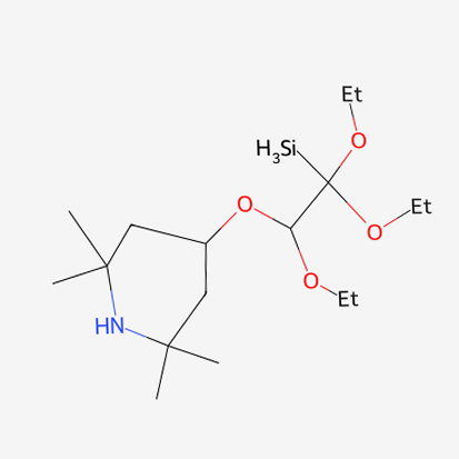 CCOC(OC1CC(C)(C)NC(C)(C)C1)C([SiH3])(OCC)OCC